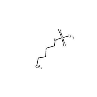 CCCCC[N]S(C)(=O)=O